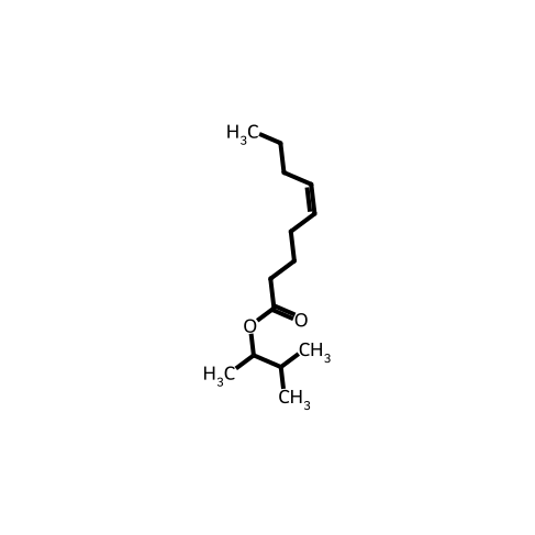 CCC/C=C\CCCC(=O)OC(C)C(C)C